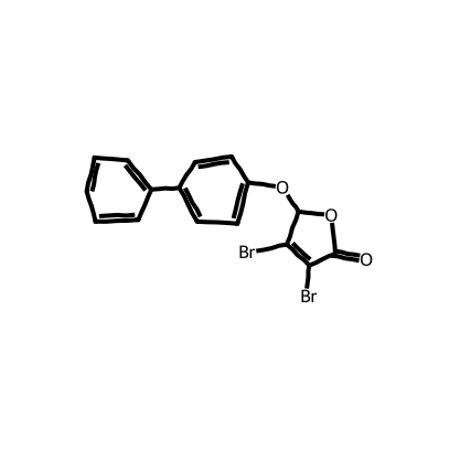 O=C1OC(Oc2ccc(-c3ccccc3)cc2)C(Br)=C1Br